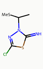 CSC(C)n1nc(Cl)sc1=N